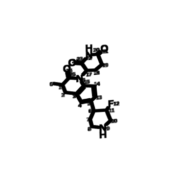 CC1Cc2cc(C3CCNCC3F)ccc2N(C2CCC(=O)NC2=O)C1=O